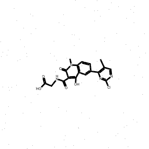 Cc1cnc(Cl)nc1-c1ccc2c(c1)c(O)c(C(=O)NCC(=O)O)c(=O)n2C